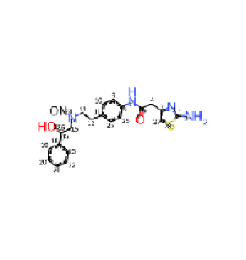 Nc1nc(CC(=O)Nc2ccc(CCN(C[C@H](O)c3ccccc3)N=O)cc2)cs1